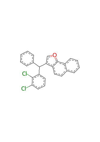 Clc1cccc(C(c2ccccc2)c2coc3c2ccc2ccccc23)c1Cl